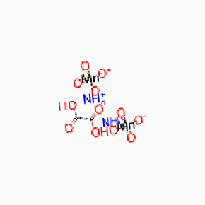 O=C(O)C(=O)O.[NH4+].[NH4+].[O]=[Mn](=[O])(=[O])[O-].[O]=[Mn](=[O])(=[O])[O-]